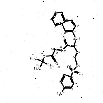 Cc1ccc(S(=O)(=O)OCCC(Nc2ccc3ccccc3c2)C(=O)NNC(=O)OC(C)(C)C)cc1